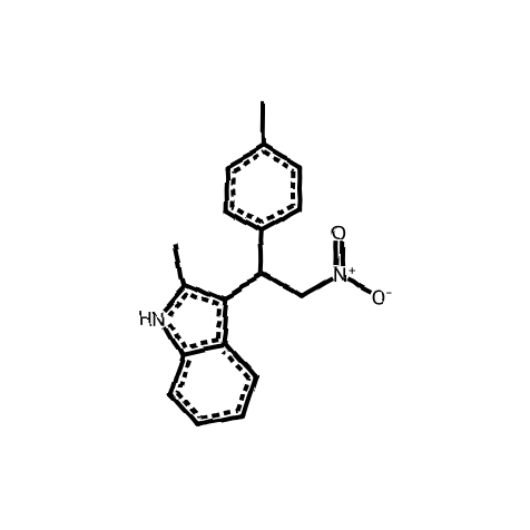 Cc1ccc(C(C[N+](=O)[O-])c2c(C)[nH]c3ccccc23)cc1